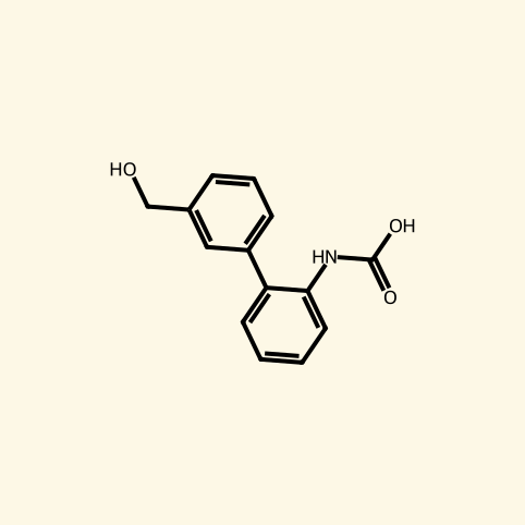 O=C(O)Nc1ccccc1-c1cccc(CO)c1